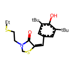 CCSCCN1CSC(=Cc2cc(C(C)(C)C)c(O)c(C(C)(C)C)c2)C1=O